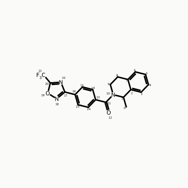 CC1c2ccccc2CCN1C(=O)c1ccc(-c2noc(C(F)(F)F)n2)cc1